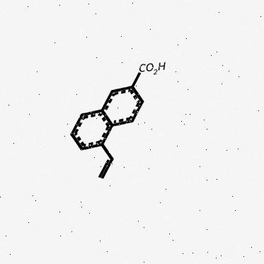 C=Cc1cccc2cc(C(=O)O)ccc12